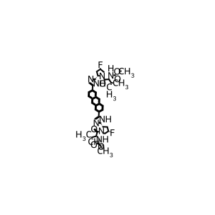 COC(=O)NC(C(=O)N1C[C@@H](F)C[C@H]1c1ncc(-c2ccc3cc4cc(-c5cnc([C@@H]6C[C@H](F)CN6C(=O)[C@@H](NC(=O)OC)C(C)C)[nH]5)ccc4cc3c2)[nH]1)C(C)C